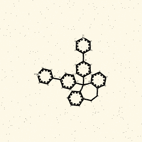 c1ccc2c(c1)CCc1ccccc1C2(c1ccc(-c2ccncc2)cc1)c1ccc(-c2ccncc2)cc1